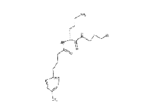 Cc1ccc(CCCC(=O)N[C@H](CCCN)C(=O)NCCCC(C)C)cc1